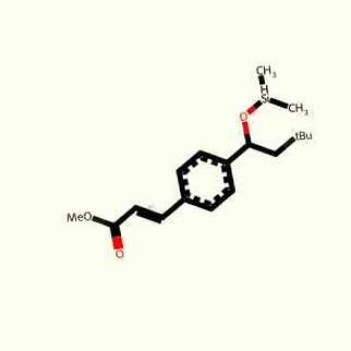 COC(=O)/C=C/c1ccc(C(CC(C)(C)C)O[SiH](C)C)cc1